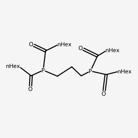 CCCCCCC(=O)P(CCCP(C(=O)CCCCCC)C(=O)CCCCCC)C(=O)CCCCCC